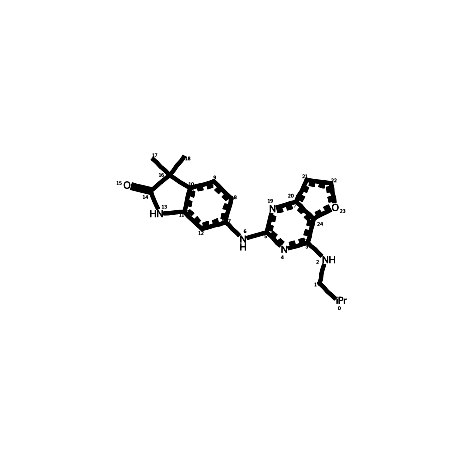 CC(C)CNc1nc(Nc2ccc3c(c2)NC(=O)C3(C)C)nc2ccoc12